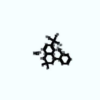 CC1(C)CN(c2cccc[n+]2[O-])c2cc(C(F)(F)F)ccc2O1.Cl